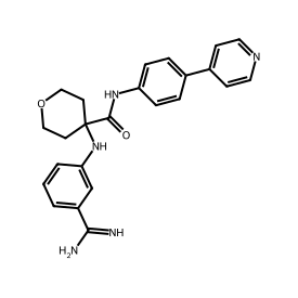 N=C(N)c1cccc(NC2(C(=O)Nc3ccc(-c4ccncc4)cc3)CCOCC2)c1